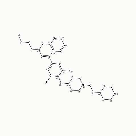 CCCCN1C=C(c2cc(F)c(OC3CCN(CCC4CCNCC4)CC3)c(F)c2)c2ccncc2C1